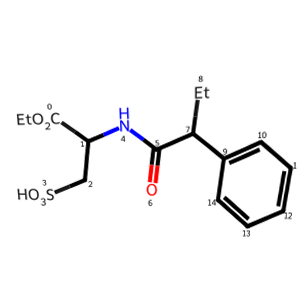 CCOC(=O)C(CS(=O)(=O)O)NC(=O)C(CC)c1ccccc1